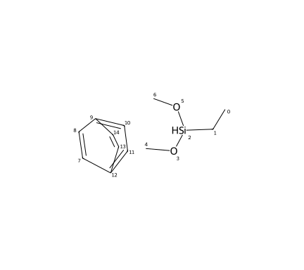 CC[SiH](OC)OC.c1cc2ccc1cc2